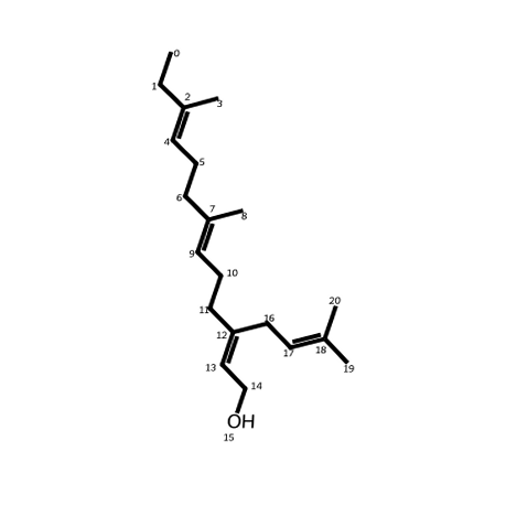 CC/C(C)=C/CC/C(C)=C/CC/C(=C/CO)CC=C(C)C